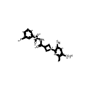 Cc1nc(N2CC(C(=O)NS(=O)(=O)c3cccc(F)c3)C2)c(C#N)cc1C(=O)O